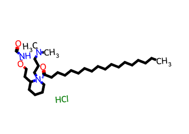 CCCCCCCCCCCCCCCCCC(=O)[N+]1(CCCN(C)C)CCCCC1CCONC=O.Cl